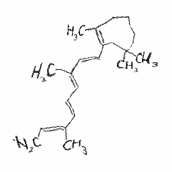 [CH2]C=C(C)C=CC=C(C)C=CC1=C(C)CCCC1(C)C